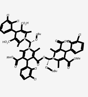 CCCCO[C@H](OC(=O)C1=C(C)N([C@@H](OCCCC)N2C(C)=C(C(=O)O)C(c3cccc(Cl)c3Cl)C(C(=O)O)=C2C)C(C)=C(C(=O)OC)C1c1cccc(Cl)c1Cl)N1C(C)=C(C(=O)OC)C(c2cccc(Cl)c2Cl)C(C(=O)OC)=C1C